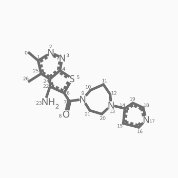 Cc1nnc2sc(C(=O)N3CCCN(c4ccncc4)CC3)c(N)c2c1C